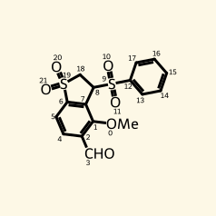 COc1c(C=O)ccc2c1C(S(=O)(=O)c1ccccc1)CS2(=O)=O